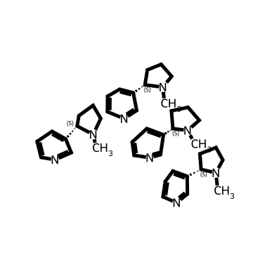 CN1CCC[C@H]1c1cccnc1.CN1CCC[C@H]1c1cccnc1.CN1CCC[C@H]1c1cccnc1.CN1CCC[C@H]1c1cccnc1